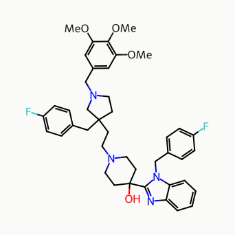 COc1cc(CN2CCC(CCN3CCC(O)(c4nc5ccccc5n4Cc4ccc(F)cc4)CC3)(Cc3ccc(F)cc3)C2)cc(OC)c1OC